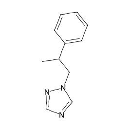 CC(Cn1cncn1)c1ccccc1